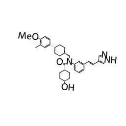 COc1ccc([C@H]2CC[C@H](CN(c3cccc(C=Cc4cn[nH]c4)c3)C(=O)[C@H]3CC[C@H](O)CC3)CC2)cc1C